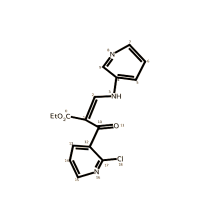 CCOC(=O)C(=CNc1cccnc1)C(=O)c1cccnc1Cl